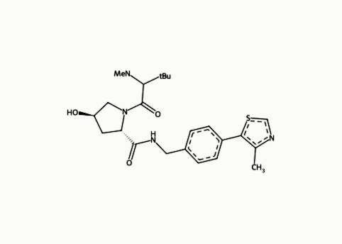 CNC(C(=O)N1C[C@H](O)C[C@H]1C(=O)NCc1ccc(-c2scnc2C)cc1)C(C)(C)C